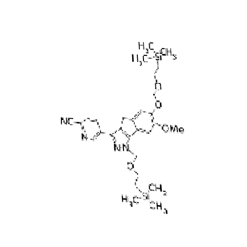 COc1cc2c(cc1OCOCC[Si](C)(C)C)Cc1c(-c3ccc(C#N)nc3)nn(COCC[Si](C)(C)C)c1-2